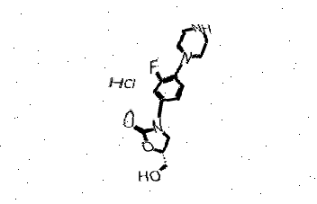 Cl.O=C1O[C@@H](CO)CN1c1ccc(N2CCNCC2)c(F)c1